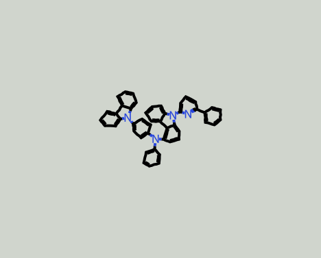 c1ccc(-c2cccc(-n3c4ccccc4c4c(N(c5ccccc5)c5ccc(-n6c7ccccc7c7ccccc76)cc5)cccc43)n2)cc1